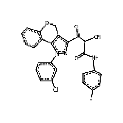 N#CC(C(=O)Nc1ccc(F)cc1)C(=O)c1nn(-c2cccc(Cl)c2)c2c1COc1ccccc1-2